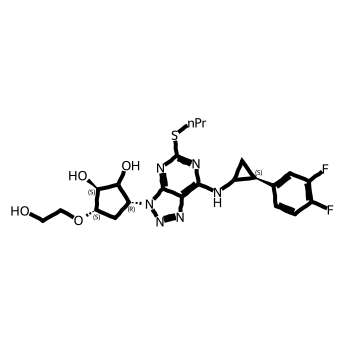 CCCSc1nc(NC2C[C@H]2c2ccc(F)c(F)c2)c2nnn([C@@H]3C[C@H](OCCO)[C@@H](O)C3O)c2n1